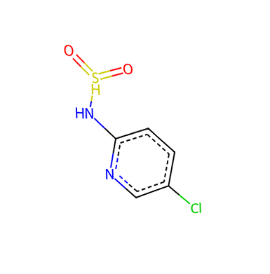 O=[SH](=O)Nc1ccc(Cl)cn1